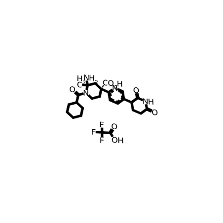 CC1(N)C[C@@](C(=O)O)(c2ccc(C3CCC(=O)NC3=O)cn2)CCN1C(=O)C1CCCCC1.O=C(O)C(F)(F)F